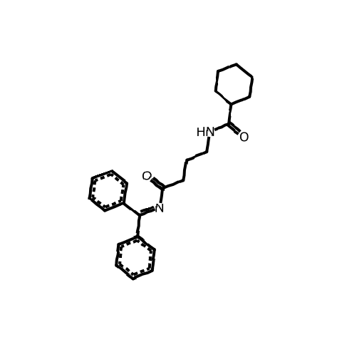 O=C(CCCNC(=O)C1CCCCC1)N=C(c1ccccc1)c1ccccc1